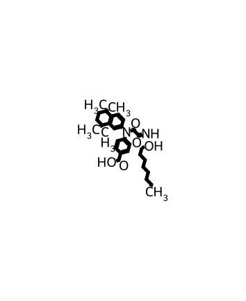 CCCCCCCC(O)OC(=N)C(=O)N(c1ccc(C(=O)O)cc1)c1ccc2c(c1)C(C)(C)CCC2(C)C